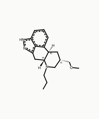 CCCN1C[C@@H](COC)C[C@@H]2c3cccc4[nH]nc(c34)C[C@H]21